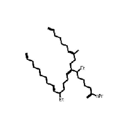 C=CCCCCC=C(C)CCC(=CCCCC(C=CCCCCCCC=C)CC)C(CC)CCCCC(=C)CCC